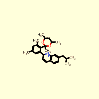 Cc1cc(C)c(C2(C)OC(C)CC(C)O2)c(C2C=Cc3ccc(CC(C)C)cc3N2)c1